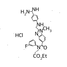 CCOC(=O)CCN(C(=O)c1ccc2c(c1)nc(CNc1ccc(C(=N)N)cc1)n2C)c1cccc(F)c1.Cl